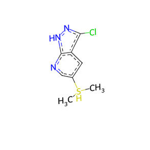 C[SH](C)c1cnc2[nH]nc(Cl)c2c1